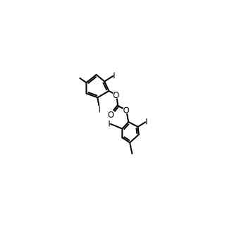 Cc1cc(I)c(OC(=O)Oc2c(I)cc(C)cc2I)c(I)c1